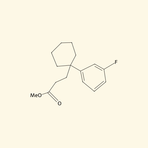 COC(=O)CCC1(c2cccc(F)c2)CCCCC1